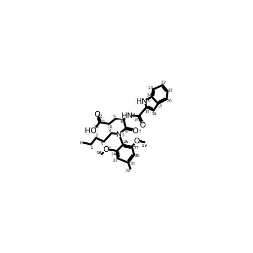 CCCCCN(C(=O)[C@@H](CCC(=O)O)NC(=O)c1cc2ccccc2[nH]1)c1c(OC)cc(C)cc1OC